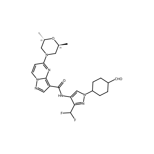 C[C@H]1CN(c2ccn3ncc(C(=O)Nc4cn(C5CCC(C=O)CC5)nc4C(F)F)c3n2)C[C@H](C)O1